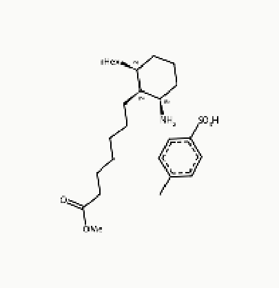 CCCCCC[C@H]1CCC[C@@H](N)[C@H]1CCCCCCC(=O)OC.Cc1ccc(S(=O)(=O)O)cc1